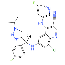 [2H]C(Nc1cc(Cl)c2ncc(C#N)c(Nc3cncc(F)c3)c2c1)(c1ccc(F)cc1)c1cn(C(C)C)nn1